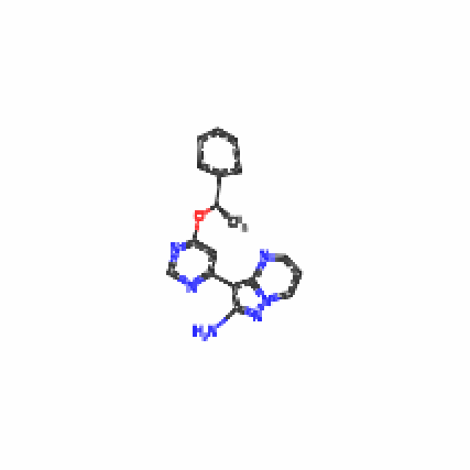 Nc1nn2cccnc2c1-c1cc(O[C@@H](c2ccccc2)C(F)(F)F)ncn1